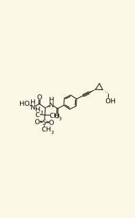 CC(C)([C@H](NC(=O)c1ccc(C#C[C@H]2C[C@@H]2CO)cc1)C(=O)NO)S(C)(=O)=O